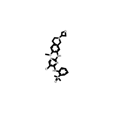 COc1cc2c(cc1Nc1ncc(Cl)c(Nc3ccccc3P(C)(C)=O)n1)CN(C1COC1)CC2